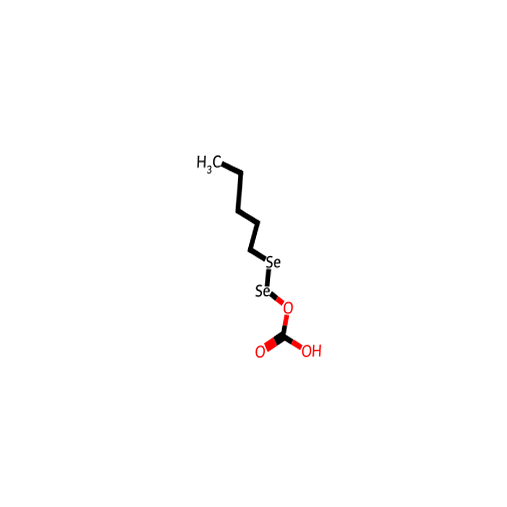 CCCCC[Se][Se]OC(=O)O